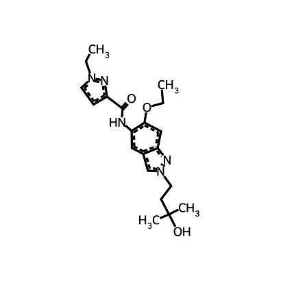 CCOc1cc2nn(CCC(C)(C)O)cc2cc1NC(=O)c1ccn(CC)n1